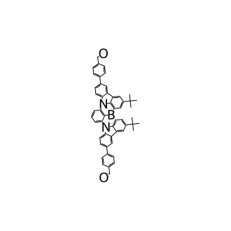 CC(C)(C)c1cc2c3c(c1)c1cc(-c4ccc(C=O)cc4)ccc1n3-c1cccc3c1B2c1cc(C(C)(C)C)cc2c4cc(-c5ccc(C=O)cc5)ccc4n-3c12